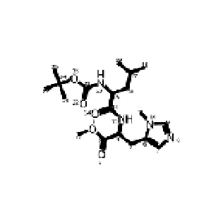 COC(=O)C(Cc1cncn1C)NC(=O)C(CC(C)C)NC(=O)OC(C)(C)C